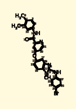 Cc1ccc(NC(=O)c2cc(Oc3ccc4c(c3)nc(Nc3ccc(Br)cc3)n4C)ccn2)cc1C